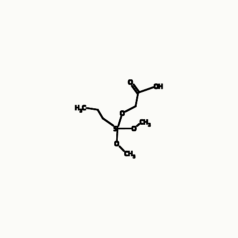 CCC[Si](OC)(OC)OCC(=O)O